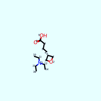 C1COC1.CCCC(=O)O.CCN(CC)CC